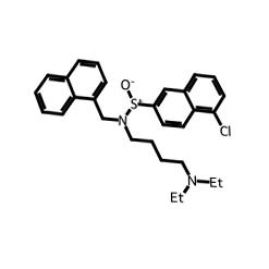 CCN(CC)CCCCN(Cc1cccc2ccccc12)[S+]([O-])c1ccc2c(Cl)cccc2c1